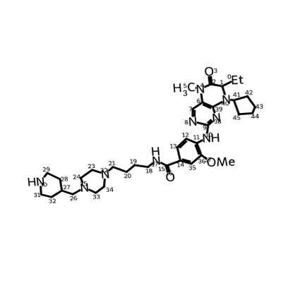 CCC1C(=O)N(C)c2cnc(Nc3ccc(C(=O)NCCCCN4CCN(CC5CCNCC5)CC4)cc3OC)nc2N1C1CCCC1